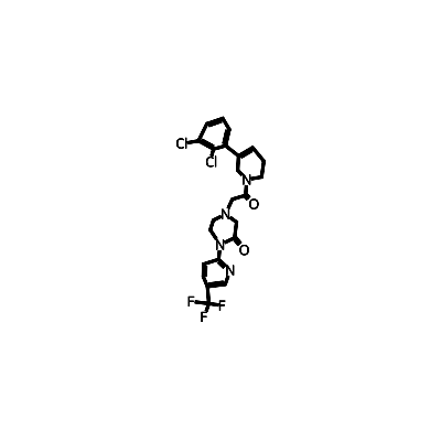 O=C(CN1CCN(c2ccc(C(F)(F)F)cn2)C(=O)C1)N1CCC=C(c2cccc(Cl)c2Cl)C1